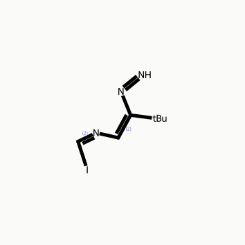 CC(C)(C)/C(=C/N=C\I)N=N